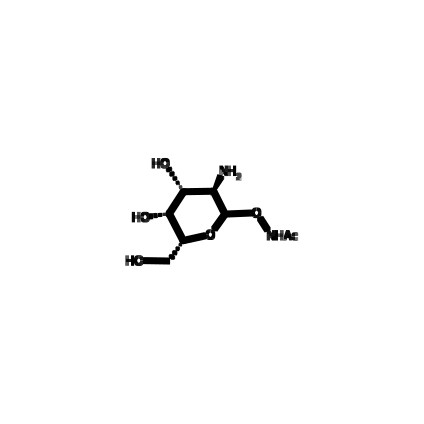 CC(=O)NOC1O[C@H](CO)[C@H](O)[C@H](O)[C@H]1N